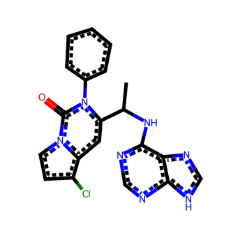 CC(Nc1ncnc2[nH]cnc12)c1cc2c(Cl)ccn2c(=O)n1-c1ccccc1